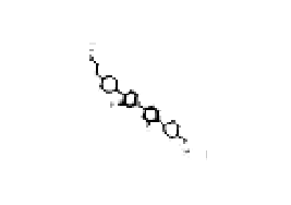 COCC1CCC(c2ccc(-c3ccc(C4CCC(CCCF)CC4)c(F)c3)cc2F)CC1